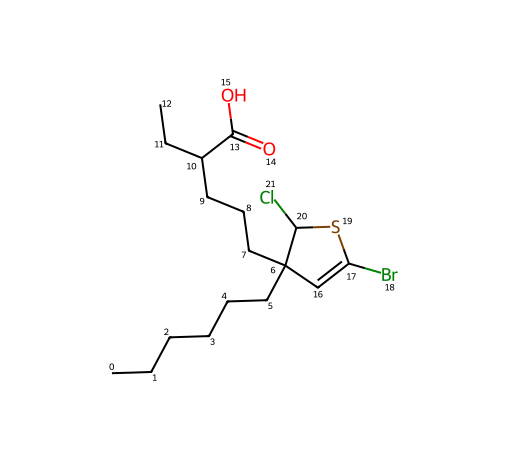 CCCCCCC1(CCCC(CC)C(=O)O)C=C(Br)SC1Cl